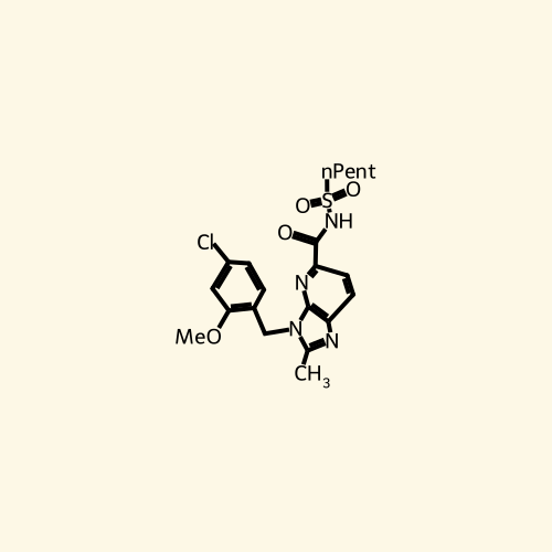 CCCCCS(=O)(=O)NC(=O)c1ccc2nc(C)n(Cc3ccc(Cl)cc3OC)c2n1